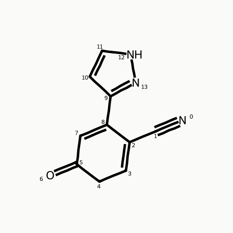 N#CC1=CCC(=O)C=C1c1cc[nH]n1